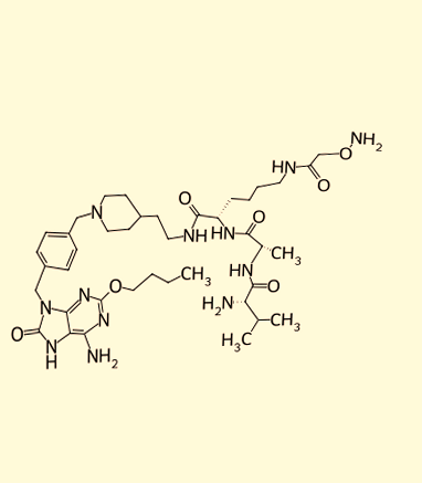 CCCCOc1nc(N)c2[nH]c(=O)n(Cc3ccc(CN4CCC(CCNC(=O)[C@H](CCCCNC(=O)CON)NC(=O)[C@H](C)NC(=O)[C@@H](N)C(C)C)CC4)cc3)c2n1